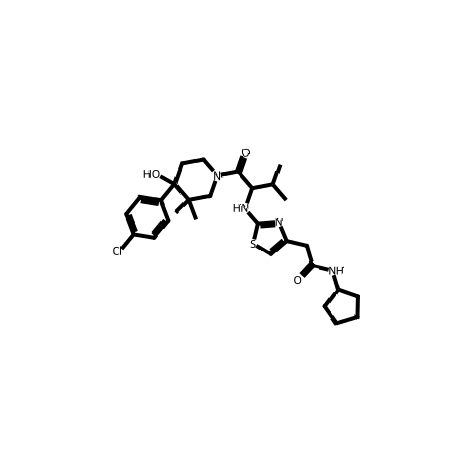 CC(C)C(Nc1nc(CC(=O)NC2CCCC2)cs1)C(=O)N1CCC(O)(c2ccc(Cl)cc2)C(C)(C)C1